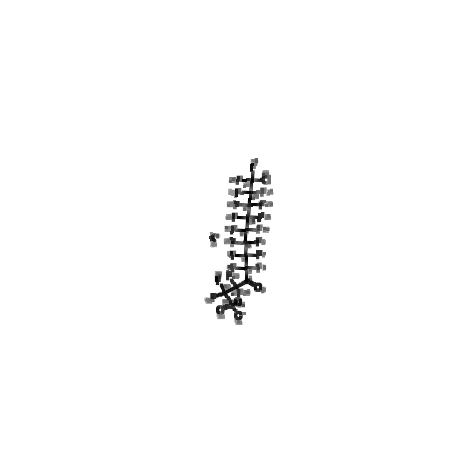 O=C(C(F)(F)C(F)(F)C(F)(F)C(F)(F)C(F)(F)C(F)(F)C(F)(F)C(F)(F)Cl)C(F)(F)C(F)(F)S(=O)(=O)[O-].[K+]